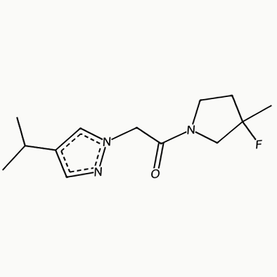 CC(C)c1cnn(CC(=O)N2CCC(C)(F)C2)c1